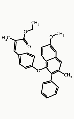 CCOC(=O)C(C)=Cc1ccc(Oc2c(-c3ccccc3)c(C)cc3cc(OC)ccc23)cc1